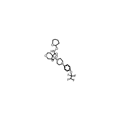 O=C(NOC1CCCCO1)C1(S(=O)(=O)N2CCN(c3ccc(OC(F)(F)C(F)F)cc3)CC2)CCOCC1